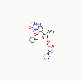 COc1cc(OCC(O)CC(=O)N2CCCCC2)ccc1-c1ccc2c(c1COc1cc(F)ccc1C)N(C)C(=O)C(C)(C)N2